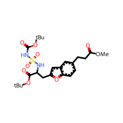 COC(=O)CCc1ccc2oc(CC(NS(=O)(=O)NC(=O)OC(C)(C)C)C(=O)OC(C)(C)C)cc2c1